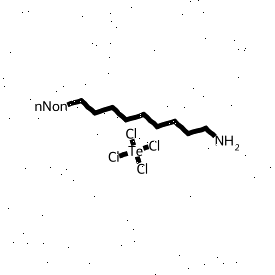 CCCCCCCCCCCCCCCCCCN.Cl[Te](Cl)(Cl)Cl